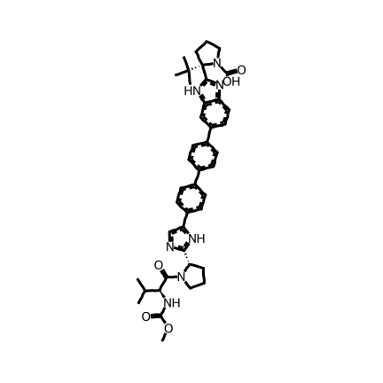 COC(=O)N[C@H](C(=O)N1CCC[C@H]1c1ncc(-c2ccc(-c3ccc(-c4ccc5nc([C@@]6(C(C)(C)C)CCCN6C(=O)O)[nH]c5c4)cc3)cc2)[nH]1)C(C)C